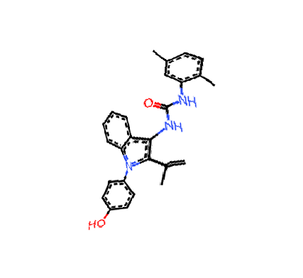 C=C(C)c1c(NC(=O)Nc2cc(C)ccc2C)c2ccccc2n1-c1ccc(O)cc1